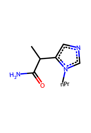 CCCn1cncc1C(C)C(N)=O